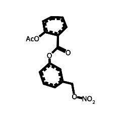 CC(=O)Oc1ccccc1C(=O)Oc1cccc(CO[N+](=O)[O-])c1